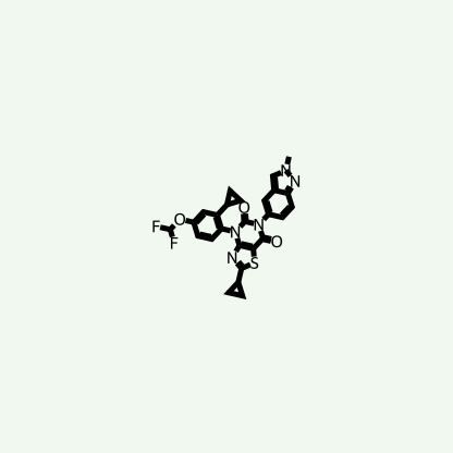 Cn1cc2cc(-n3c(=O)c4sc(C5CC5)nc4n(-c4ccc(OC(F)F)cc4C4CC4)c3=O)ccc2n1